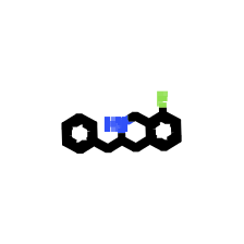 Fc1cccc2c1CNC(Cc1ccccc1)C2